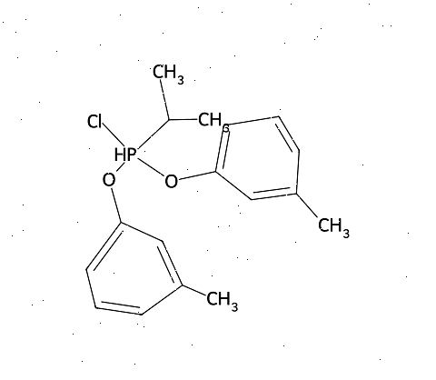 Cc1cccc(O[PH](Cl)(Oc2cccc(C)c2)C(C)C)c1